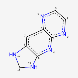 c1cnc2nc3c(cc2n1)NCN3